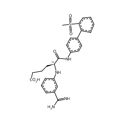 CS(=O)(=O)c1ccccc1-c1ccc(NC(=O)[C@H](CCCC(=O)O)Nc2cccc(C(=N)N)c2)cc1